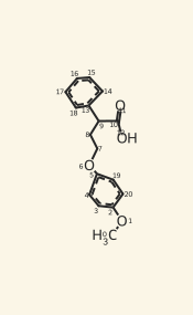 COc1ccc(OCCC(C(=O)O)c2ccccc2)cc1